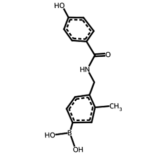 Cc1cc(B(O)O)ccc1CNC(=O)c1ccc(O)cc1